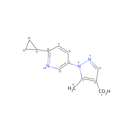 Cc1c(C(=O)O)cnn1-c1ccc(C2CC2)nc1